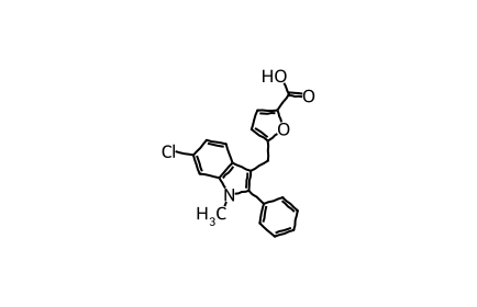 Cn1c(-c2ccccc2)c(Cc2ccc(C(=O)O)o2)c2ccc(Cl)cc21